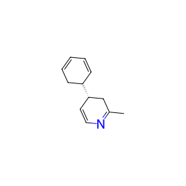 CC1=NC=C[C@H](C2C=CC=CC2)C1